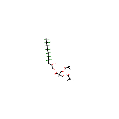 C=C(C)C(=O)OCC(C)(COC(=O)C(=C)C)C(=O)OCC(O)CC(F)(F)C(F)(F)C(F)(F)C(F)(F)C(F)(F)C(F)(F)C(F)(F)C(F)(F)F